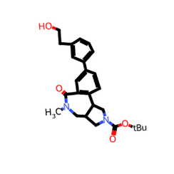 CN1CC2CN(C(=O)OC(C)(C)C)CC2c2ccc(-c3cccc(CCO)c3)cc2C1=O